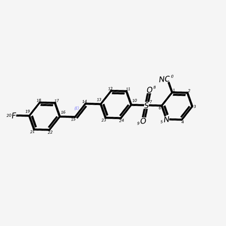 N#Cc1cccnc1S(=O)(=O)c1ccc(/C=C/c2ccc(F)cc2)cc1